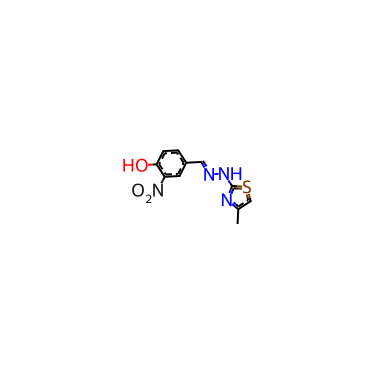 Cc1csc(N/N=C/c2ccc(O)c([N+](=O)[O-])c2)n1